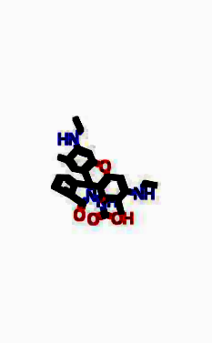 CCNc1cc2c(cc1C)C1(c3cc(C)c(NCC)cc3O2)c2ccccc2C(=O)N1NC(=O)O